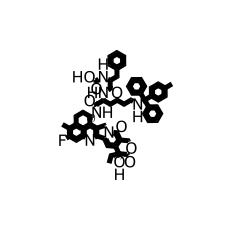 CC[C@@]1(O)C(=O)OCc2c1cc1n(c2=O)Cc2c-1nc1cc(F)c(C)c3c1c2[C@@H](NC(=O)C(CCCCNC(c1ccccc1)(c1ccccc1)c1ccc(C)cc1)NC(=O)C(Cc1ccccc1)NC(=O)O)CC3